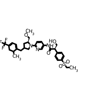 CCS(=O)(=O)c1ccc([C@H](CO)C(=O)Nc2ccc(N3CC(CC4=CC=C(C(F)(F)F)CC4C)C[C@H]3COC)nc2)cc1